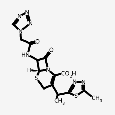 Cc1nnc(C(C)C2=C(C(=O)O)N3C(=O)C(NC(=O)Cn4cnnn4)[C@H]3SC2)s1